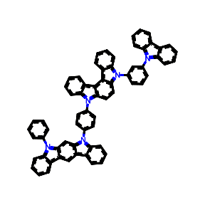 c1ccc(-n2c3ccccc3c3cc4c5ccccc5n(-c5ccc(-n6c7ccccc7c7c8c9ccccc9n(-c9cccc(-n%10c%11ccccc%11c%11ccccc%11%10)c9)c8ccc76)cc5)c4cc32)cc1